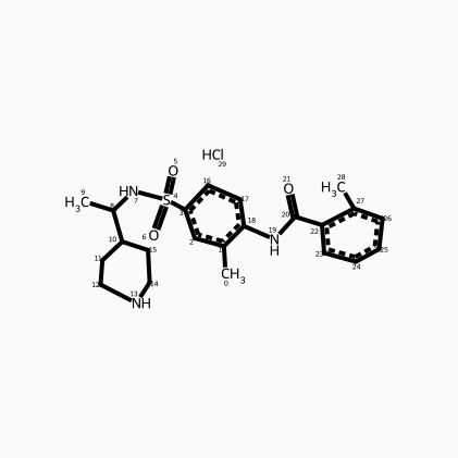 Cc1cc(S(=O)(=O)NC(C)C2CCNCC2)ccc1NC(=O)c1ccccc1C.Cl